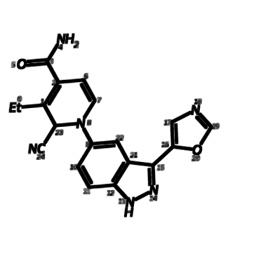 CCC1=C(C(N)=O)C=CN(c2ccc3[nH]nc(-c4cnco4)c3c2)C1C#N